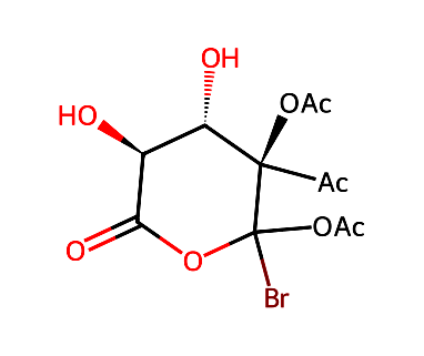 CC(=O)OC1(Br)OC(=O)[C@@H](O)[C@H](O)[C@]1(OC(C)=O)C(C)=O